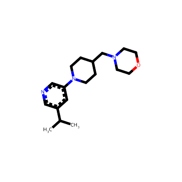 CC(C)c1cncc(N2CCC(CN3CCOCC3)CC2)c1